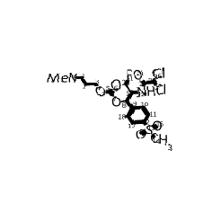 CNCCCOC(=O)O[C@H](c1ccc(S(C)(=O)=O)cc1)[C@@H](CF)NC(=O)C(Cl)Cl